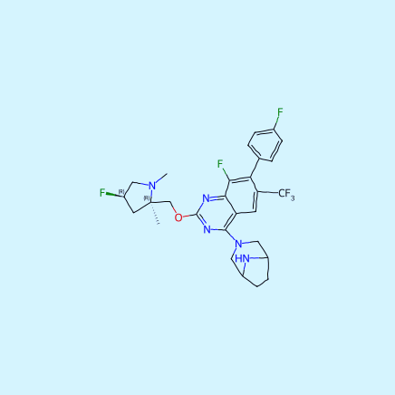 CN1C[C@H](F)C[C@]1(C)COc1nc(N2CC3CCC(C2)N3)c2cc(C(F)(F)F)c(-c3ccc(F)cc3)c(F)c2n1